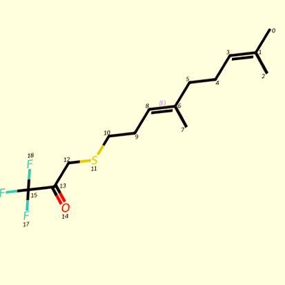 CC(C)=CCC/C(C)=C/CCSCC(=O)C(F)(F)F